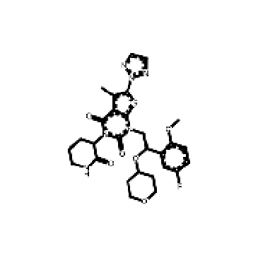 COc1ccc(F)cc1C(Cn1c(=O)n(C2CCCNC2=O)c(=O)c2c(C)c(-n3nccn3)sc21)OC1CCOCC1